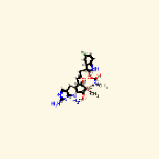 COc1cc(Cc2cnc(N)nc2N)c2cc(Cc3c(OC(=O)N(C)C)[nH]c4ccc(F)cc34)oc2c1OC